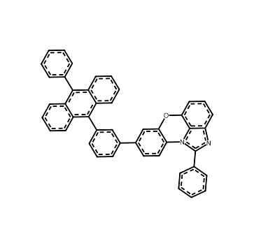 c1ccc(-c2c3ccccc3c(-c3cccc(-c4ccc5c(c4)Oc4cccc6nc(-c7ccccc7)n-5c46)c3)c3ccccc23)cc1